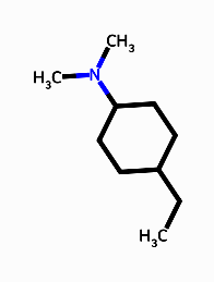 CCC1CCC(N(C)C)CC1